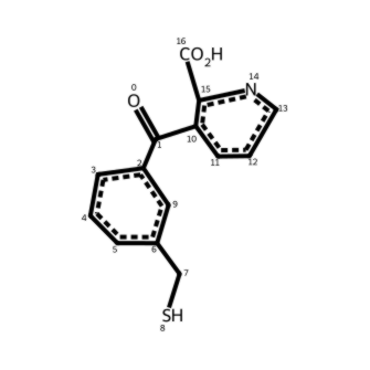 O=C(c1cccc(CS)c1)c1cccnc1C(=O)O